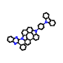 c1ccc(-c2nc3ccccc3nc2-n2c3cccc4c3c3c5c(ccc6c5c5c-4cccc5n6-c4ccc(-n5c6ccccc6c6ccccc65)cc4)ccc32)cc1